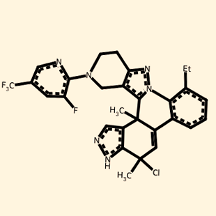 CCc1cccc2c1-n1nc3c(c1C1(C)C2=CC(C)(Cl)c2[nH]ncc21)CN(c1ncc(C(F)(F)F)cc1F)CC3